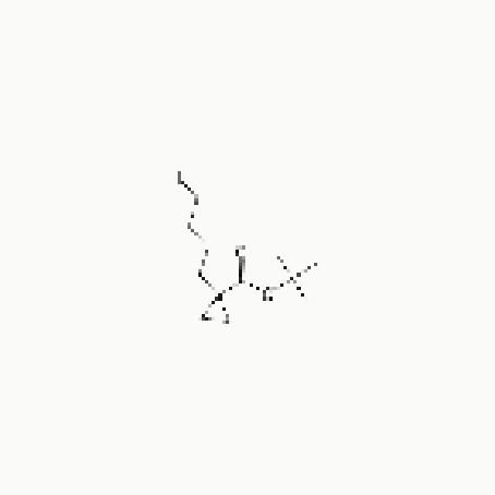 CC(C)(C)OC(=O)C1(CCCCI)CC1